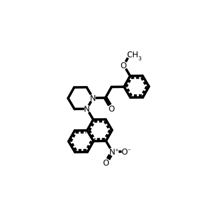 COc1ccccc1CC(=O)N1CCCCN1c1ccc([N+](=O)[O-])c2ccccc12